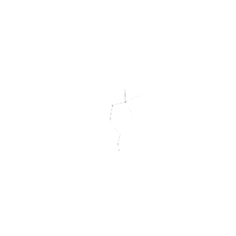 CC(CCBr)C(F)(F)F